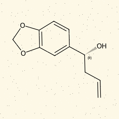 C=CC[C@@H](O)c1ccc2c(c1)OCO2